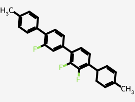 CC1=CCC(c2ccc(-c3ccc(-c4ccc(C)cc4)c(F)c3)c(F)c2F)C=C1